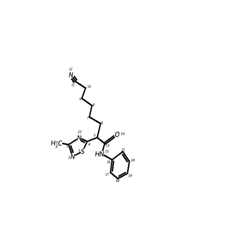 Cc1nsc(C(CCCCCC#N)C(=O)Nc2ccccc2)n1